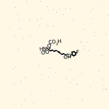 O=C(O)COCC1(/C=C/C=C/C#C/C=C/[C@@H](O)COc2ccc(F)cc2)CNC(=O)O1